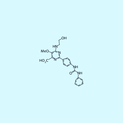 COc1c(NCCO)nc(-c2ccc(NC(=O)Nc3ccccc3)cc2)nc1C(=O)O